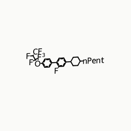 CCCCCC1CCC(c2ccc(-c3ccc(OC(F)(F)C(F)C(F)(F)F)cc3)c(F)c2)CC1